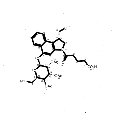 CC(=O)OC[C@H]1O[C@@H](Oc2cc3c(c4ccccc24)[C@H](CCl)CN3C(=O)CCCC(=O)O)[C@H](OC(C)=O)[C@H](OC(C)=O)[C@H]1OC(C)=O